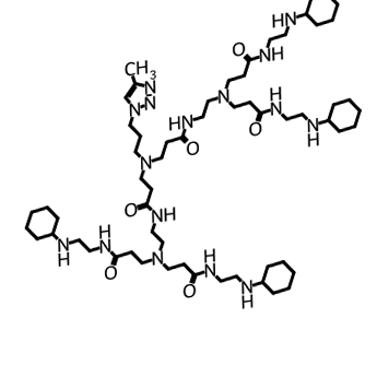 Cc1cn(CCCN(CCC(=O)NCCN(CCC(=O)NCCNC2CCCCC2)CCC(=O)NCCNC2CCCCC2)CCC(=O)NCCN(CCC(=O)NCCNC2CCCCC2)CCC(=O)NCCNC2CCCCC2)nn1